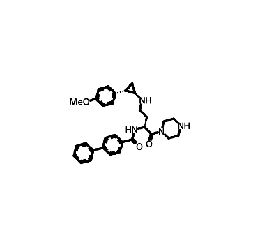 COc1ccc([C@@H]2C[C@H]2NCC[C@H](NC(=O)c2ccc(-c3ccccc3)cc2)C(=O)N2CCNCC2)cc1